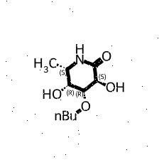 CCCCO[C@@H]1[C@H](O)[C@H](C)NC(=O)[C@H]1O